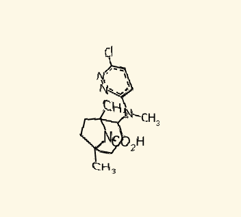 CN(c1ccc(Cl)nn1)C1CCC2(C)CCC1(C)N2C(=O)O